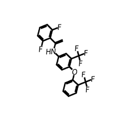 C=C(Nc1ccc(Oc2ccccc2C(F)(F)F)c(C(F)(F)F)c1)c1c(F)cccc1F